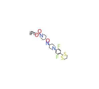 CC(C)OC(=O)N1CCC(ON=C2CCN(c3cc(F)c(C4SCCCS4)cc3F)CC2)CC1